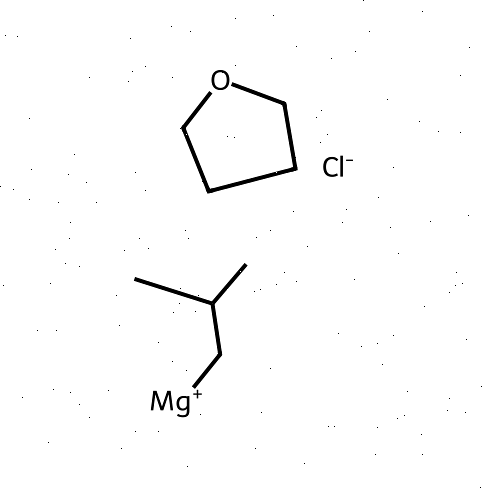 C1CCOC1.CC(C)[CH2][Mg+].[Cl-]